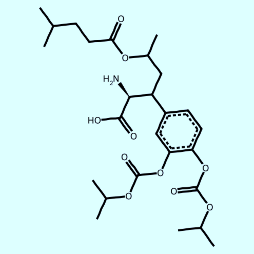 CC(C)CCC(=O)OC(C)CC(c1ccc(OC(=O)OC(C)C)c(OC(=O)OC(C)C)c1)[C@H](N)C(=O)O